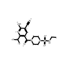 CCNS(=O)(=O)N1CCN(C(=O)c2cc(C#N)c(O)nc2C(F)F)CC1